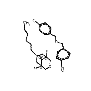 CCCCCCN1C[C@H]2COC[C@@H](C1)C2O.Clc1ccc(COCc2ccc(Cl)cc2)cc1